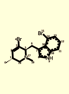 C[C@@H]1C=C(Br)[C@@H](Cc2c[nH]c3cccc(Br)c23)N(C)C1